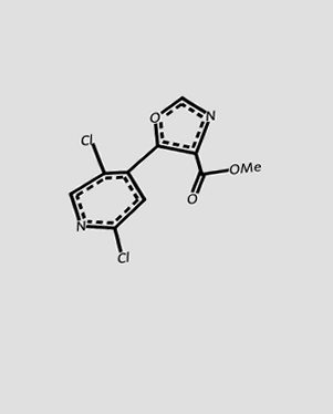 COC(=O)c1ncoc1-c1cc(Cl)ncc1Cl